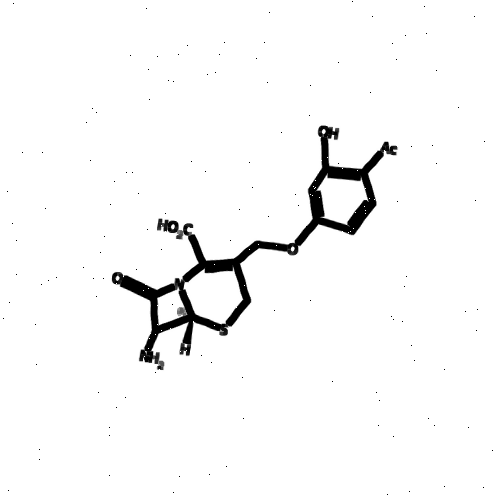 CC(=O)c1ccc(OCC2=C(C(=O)O)N3C(=O)C(N)[C@H]3SC2)cc1O